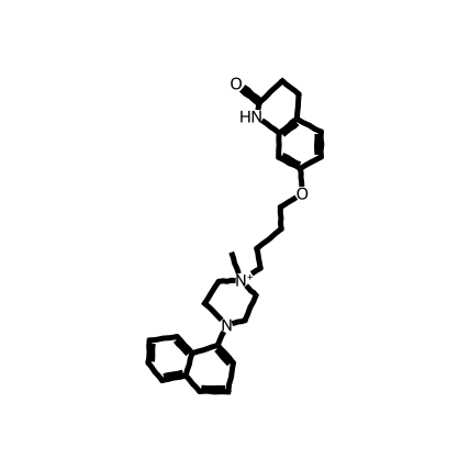 C[N+]1(CCCCOc2ccc3c(c2)NC(=O)CC3)CCN(c2cccc3ccccc23)CC1